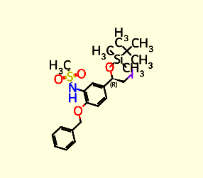 CC(C)(C)[Si](C)(C)O[C@@H](CI)c1ccc(OCc2ccccc2)c(NS(C)(=O)=O)c1